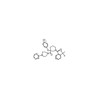 CC(F)(F)c1ccncc1C(=O)N1CCCC(Oc2ccc(C(F)(F)F)cc2)(C(=O)N2CCN(c3ccccn3)CC2)C1